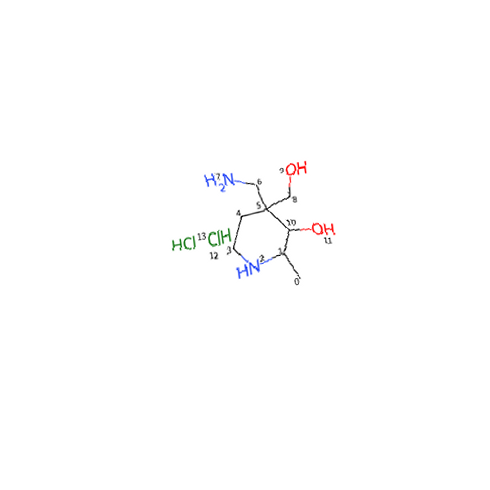 CC1NCCC(CN)(CO)C1O.Cl.Cl